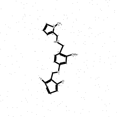 COc1cc(OCc2c(F)cccc2Cl)ccc1CNCc1cccn1C